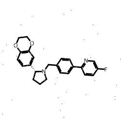 Fc1ccc(-c2ccc(CN3CCC[C@@H]3c3ccc4c(c3)OCCO4)cc2)nc1